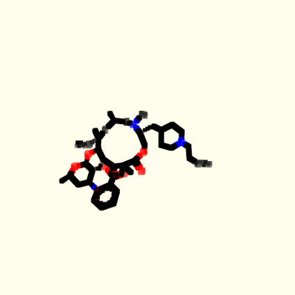 CCN1C[C@H](C)C[C@@](C)(OC)[C@H](O[C@@H]2O[C@H](C)C[C@H](N(C)C)[C@H]2OC(=O)c2ccccc2)[C@@H](C)C(=O)C(C)(C)C(=O)OC[C@H]1CC1CCN(CCOC)CC1